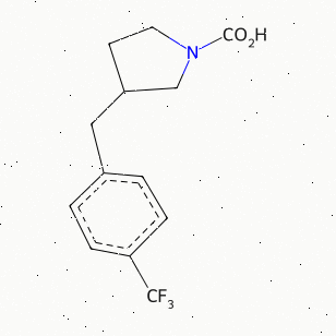 O=C(O)N1CCC(Cc2ccc(C(F)(F)F)cc2)C1